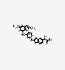 CCC(=O)Nc1ccc2c(c1)CC(CN1CC[C@@H](n3c(C)nc4cc(C)ccc43)[C@H](O)C1)C2